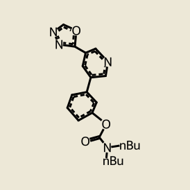 CCCCN(CCCC)C(=O)Oc1cccc(-c2cncc(-c3nnco3)c2)c1